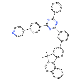 CC1(C)c2cc(-c3cccc(-c4nc(-c5ccccc5)nc(-c5ccc(-c6ccncc6)cc5)n4)c3)ccc2-c2c1ccc1ccccc21